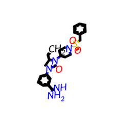 C=CC1CN(c2cccc(C(=N)N)c2)C(=O)N1C1CCN(S(=O)(=O)Cc2ccccc2)CC1